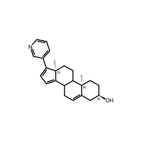 C[C@]12CCC3C(CC=C4C[C@H](O)CC[C@@]43C)C1=CC=C2c1cccnc1